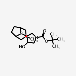 CN1CC2CCC(C1)N2C1CN(C(=O)OC(C)(C)C)CC1O